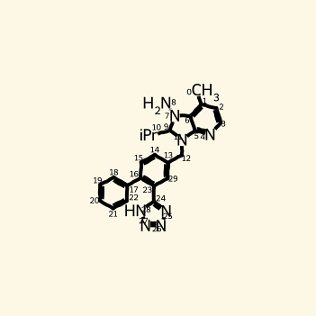 Cc1ccnc2c1N(N)C(C(C)C)N2Cc1ccc(-c2ccccc2)c(-c2nnn[nH]2)c1